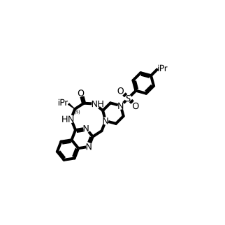 CC(C)c1ccc(S(=O)(=O)N2CCN3Cc4nc(c5ccccc5n4)N[C@@H](C(C)C)C(=O)NC3C2)cc1